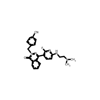 CN(C)CCNc1ccc(-c2nn(Cc3ccc(C#N)cc3)c(=O)c3ccccc23)c(F)n1